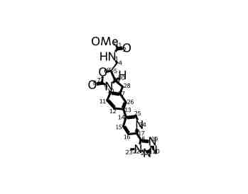 COC(=O)NC[C@@H]1OC(=O)N2c3ccc(-c4ccc(-c5nnnn5C)nc4)cc3C[C@@H]12